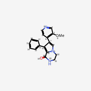 COc1cnccc1-c1cn2c(c1-c1ccccc1)C(=O)NCC2